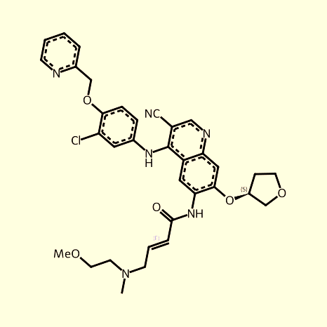 COCCN(C)C/C=C/C(=O)Nc1cc2c(Nc3ccc(OCc4ccccn4)c(Cl)c3)c(C#N)cnc2cc1O[C@H]1CCOC1